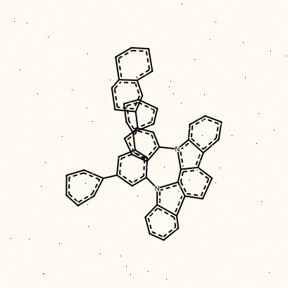 c1ccc(-c2cc(-c3ccccc3)cc(-n3c4ccccc4c4ccc5c6ccccc6n(-c6cccc(-c7ccc8ccccc8c7)c6)c5c43)c2)cc1